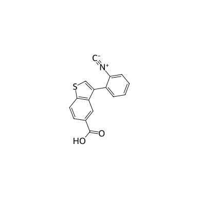 [C-]#[N+]c1ccccc1-c1csc2ccc(C(=O)O)cc12